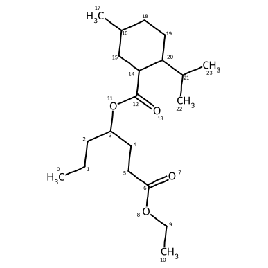 CCCC(CCC(=O)OCC)OC(=O)C1CC(C)CCC1C(C)C